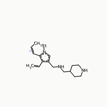 C=Cc1c(CNCC2CCNCC2)cn(CC)c1/C=C\C